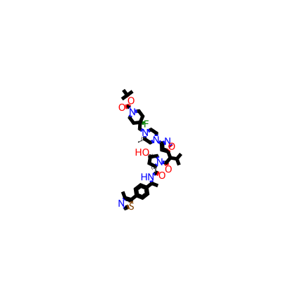 Cc1ncsc1-c1ccc(C(C)NC(=O)[C@@H]2C[C@@H](O)CN2C(=O)C(c2cc(N3CCN(CC4(F)CCN(C(=O)OC(C)(C)C)CC4)[C@@H](C)C3)no2)C(C)C)cc1